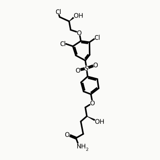 NC(=O)CC[C@H](O)COc1ccc(S(=O)(=O)c2cc(Cl)c(OC[C@H](O)CCl)c(Cl)c2)cc1